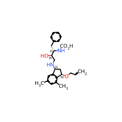 C=CCO[C@@H]1C[C@H](NC[C@@H](O)[C@H](Cc2ccccc2)NC(=O)O)c2cc(C)cc(C)c21